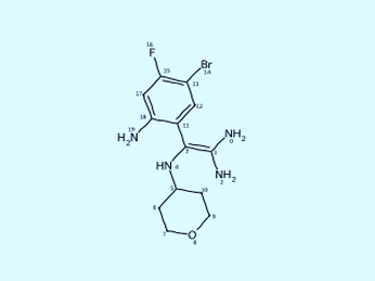 NC(N)=C(NC1CCOCC1)c1cc(Br)c(F)cc1N